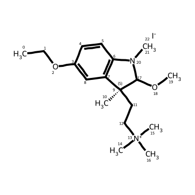 CCOc1ccc2c(c1)[C@](C)(CC[N+](C)(C)C)C(OC)N2C.[I-]